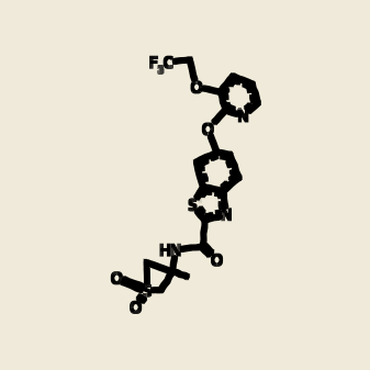 CC1(NC(=O)c2nc3ccc(Oc4ncccc4OCC(F)(F)F)cc3s2)CS(=O)(=O)C1